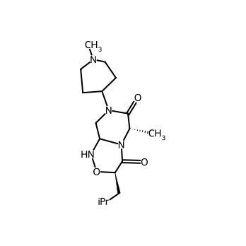 CC(C)C[C@H]1ONC2CN(C3CCN(C)CC3)C(=O)[C@H](C)N2C1=O